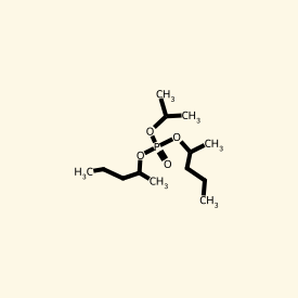 CCCC(C)OP(=O)(OC(C)C)OC(C)CCC